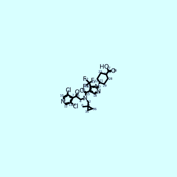 CC1(CN(CC(=O)c2c(Cl)cncc2Cl)C(=O)c2cnn(C3CCC(C(=O)O)CC3)c2C(F)(F)F)CC1